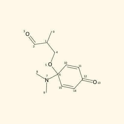 CC(C=O)COC1(N(C)C)C=CC(=O)C=C1